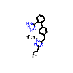 CCCCCn1nc(CCC(C)C)nc1Cc1ccc(-c2ccccc2-c2nnn[nH]2)cc1